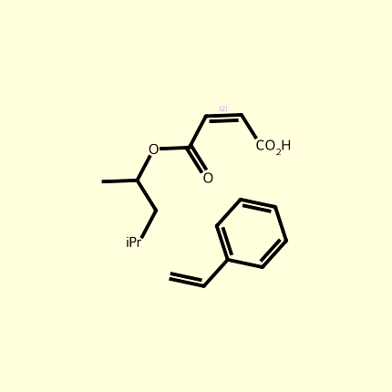 C=Cc1ccccc1.CC(C)CC(C)OC(=O)/C=C\C(=O)O